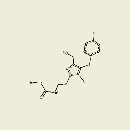 Cc1c(Sc2ccc(F)cc2)c(CO)nn1CCNC(=O)OC(C)(C)C